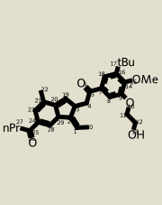 C/C=C1\C(CC(=O)c2cc(OCCO)c(OC)c(C(C)(C)C)c2)C=C2C(C)=CC(C(=O)CCC)=CC21